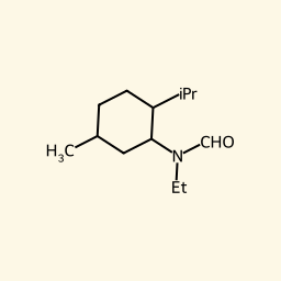 CCN(C=O)C1CC(C)CCC1C(C)C